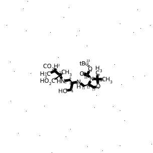 CC(C(=O)O)[C@](C)(NC[C@H](CO)NC[C@@H]1COC(C)(C)N1C(=O)OC(C)(C)C)C(=O)O